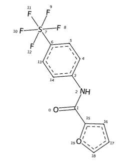 O=C(Nc1ccc(S(F)(F)(F)(F)F)cc1)c1ccco1